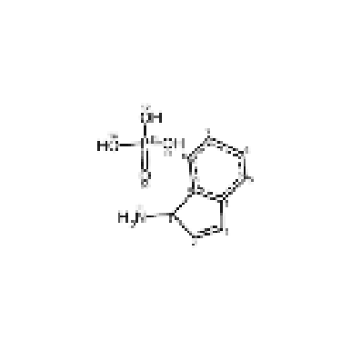 NC1C=Cc2ccccc21.O=P(O)(O)O